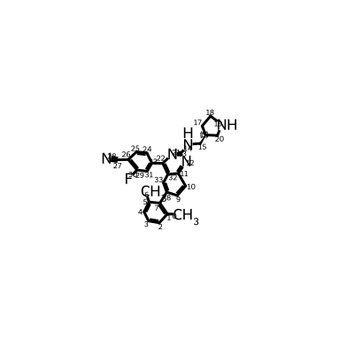 Cc1cccc(C)c1-c1ccc2nc(NC[C@H]3CCNC3)nc(-c3ccc(C#N)c(F)c3)c2c1